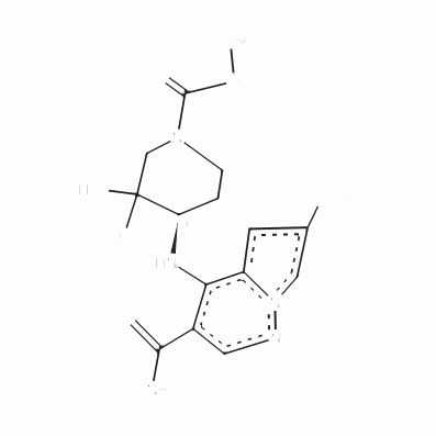 CC(C)(C)OC(=O)N1CC[C@@H](Nc2c(C(N)=O)cnn3cc(C(=O)O)cc23)C(C)(C)C1